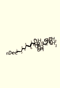 CCCCCCCCCCCCCCCCCC(=O)OP(=O)(O)OCC[N+](C)(C)C